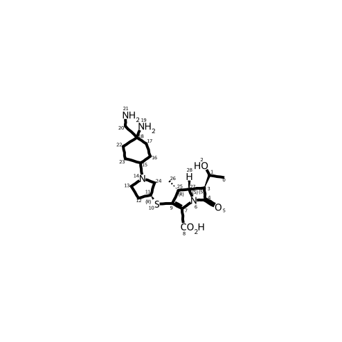 CC(O)[C@H]1C(=O)N2C(C(=O)O)=C(S[C@@H]3CCN(C4CCC(N)(CN)CC4)C3)[C@H](C)[C@H]12